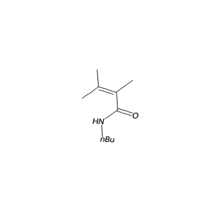 CCCCNC(=O)C(C)=C(C)C